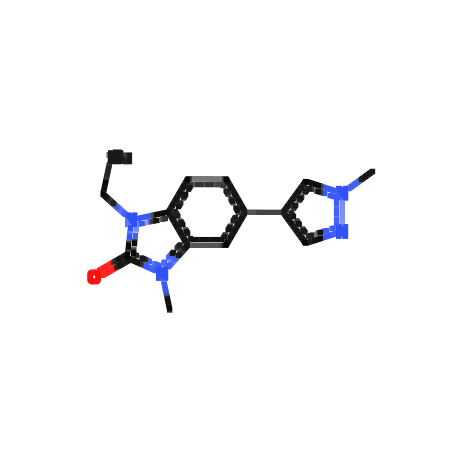 Cn1cc(-c2ccc3c(c2)n(C)c(=O)n3CC(C)(C)C)cn1